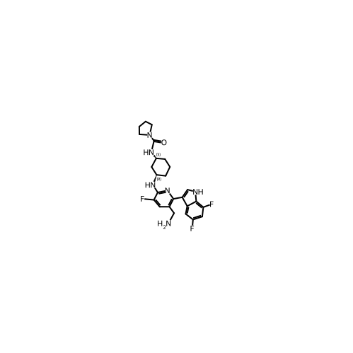 NCc1cc(F)c(N[C@@H]2CCC[C@H](NC(=O)N3CCCC3)C2)nc1-c1c[nH]c2c(F)cc(F)cc12